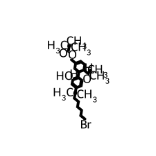 CC(C)(C)C(=O)OCC1=CC[C@@H]2[C@@H](C1)c1c(O)cc(C(C)(C)CCCCCCBr)cc1OC2(C)C